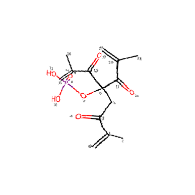 C=C(C)C(=O)CC(OP(=O)(O)O)(C(=O)C(=C)C)C(=O)C(=C)C